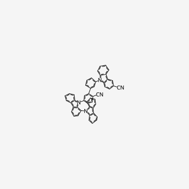 N#Cc1ccc2c(c1)c1ccccc1n2-c1cccc(-c2cc(-n3c4ccccc4c4cccc(-n5c6ccccc6c6ccccc65)c43)ccc2C#N)c1